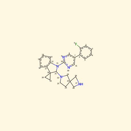 Fc1ccccc1-c1cnc(N2c3c[c]ccc3C3(CC3)C2N2CCC3(CNC3)C2)nc1